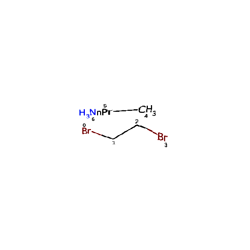 BrCCBr.CCCC.N